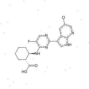 O=C(O)[C@@H]1CCCC[C@H]1Nc1nc(-c2c[nH]c3ncc(Cl)cc23)ncc1F